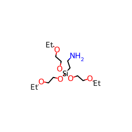 CCOCCO[Si](CCN)(OCCOCC)OCCOCC